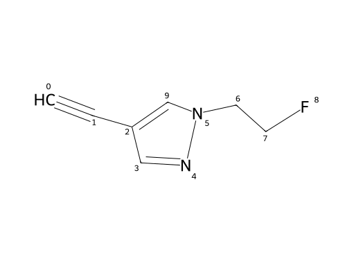 C#Cc1cnn(CCF)c1